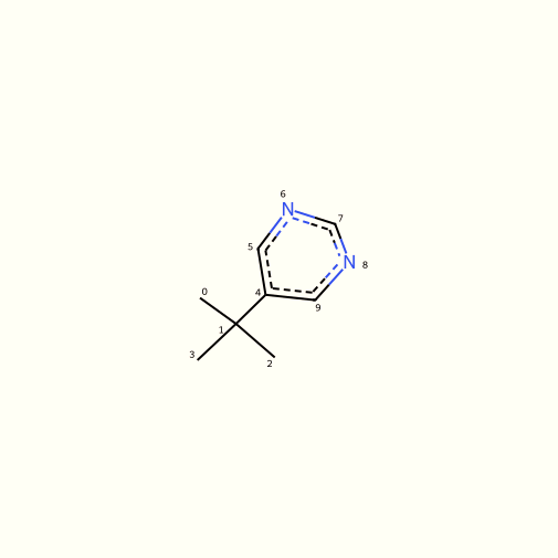 CC(C)(C)c1cncnc1